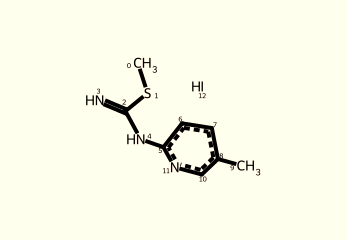 CSC(=N)Nc1ccc(C)cn1.I